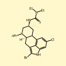 CCCN1C[C@@H](NC(=S)N(CC)CC)CC2c3cc(Cl)cc4[nH]c(Br)c(c34)C[C@H]21